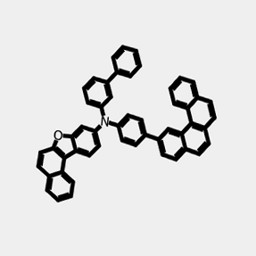 c1ccc(-c2cccc(N(c3ccc(-c4ccc5ccc6ccc7ccccc7c6c5c4)cc3)c3ccc4c(c3)oc3ccc5ccccc5c34)c2)cc1